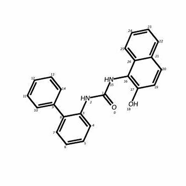 O=C(Nc1ccccc1-c1ccccc1)Nc1c(O)ccc2ccccc12